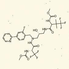 COC(=O)NC(C(=O)NC[C@@H](O)CN(Cc1ccc(-c2ccccn2)cc1F)NC(=O)[C@@H](NC(=O)OC)C(F)(F)F)C(C)(C)C(F)(F)F